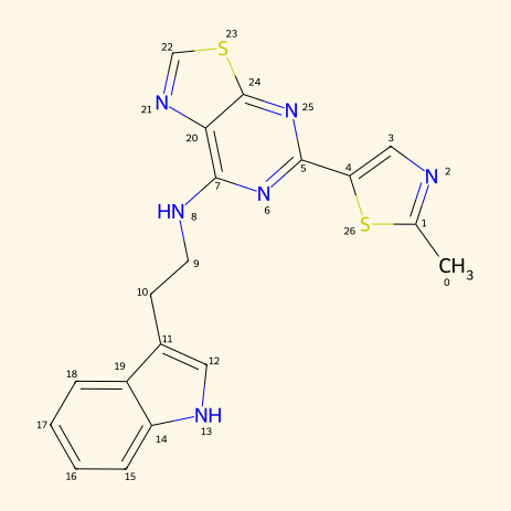 Cc1ncc(-c2nc(NCCc3c[nH]c4ccccc34)c3ncsc3n2)s1